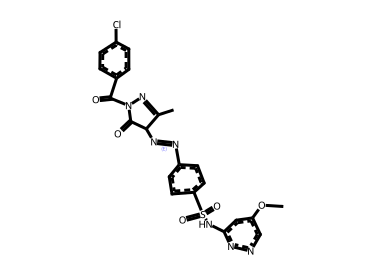 COc1cnnc(NS(=O)(=O)c2ccc(/N=N/C3C(=O)N(C(=O)c4ccc(Cl)cc4)N=C3C)cc2)c1